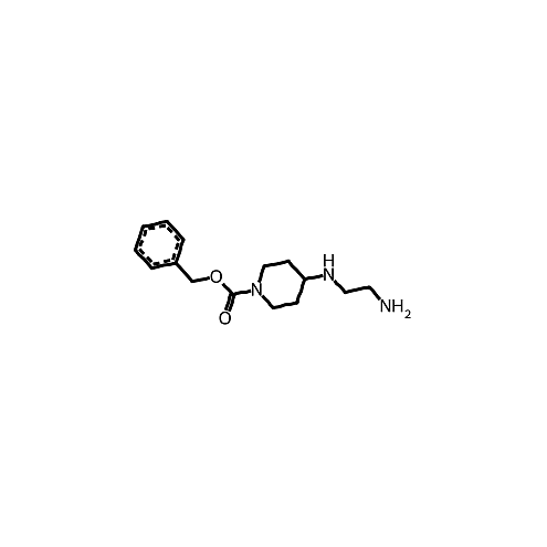 NCCNC1CCN(C(=O)OCc2ccccc2)CC1